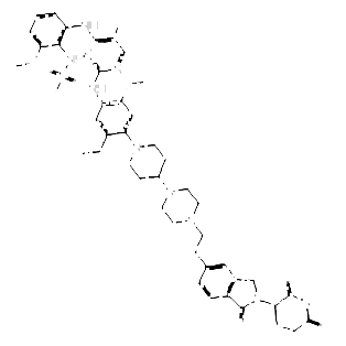 CCc1cc(Nc2ncc(Cl)c(Nc3cccc(OC)c3NS(C)(=O)=O)n2)c(OC)cc1N1CCC(N2CCN(CCc3ccc4c(c3)CN(C3CCC(=O)NC3=O)C4=O)CC2)CC1